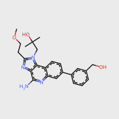 COCCc1nc2c(N)nc3cc(-c4cccc(CO)c4)ccc3c2n1CC(C)(C)O